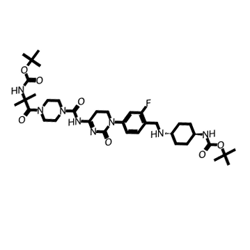 CC(C)(C)OC(=O)NC(C)(C)C(=O)N1CCN(C(=O)NC2=NC(=O)N(c3ccc(CN[C@H]4CC[C@H](NC(=O)OC(C)(C)C)CC4)c(F)c3)CC2)CC1